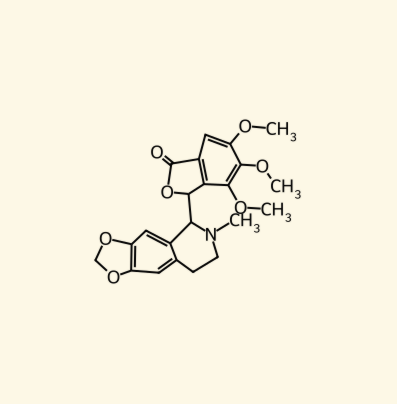 COc1cc2c(c(OC)c1OC)C(C1c3cc4c(cc3CCN1C)OCO4)OC2=O